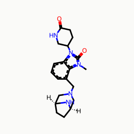 Cn1c(=O)n(C2CCC(=O)NC2)c2cccc(CN3C[C@H]4CC[C@@H](C3)N4)c21